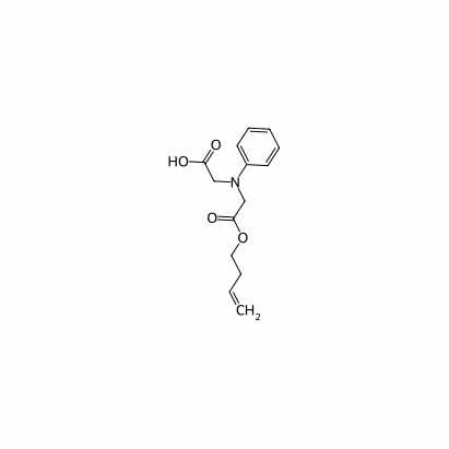 C=CCCOC(=O)CN(CC(=O)O)c1ccccc1